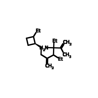 C=C(CC[C@H]1CCC1CC)C(CC)C(N)(CC)C(=C)C